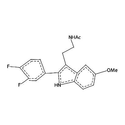 COc1ccc2[nH]c(-c3ccc(F)c(F)c3)c(CCNC(C)=O)c2c1